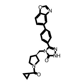 O=C(C1CC1)N1CC[C@@H](Cn2c(-c3ccc(-c4ccc5ocnc5c4)cc3)n[nH]c2=O)C1